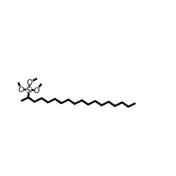 CCCCCCCCCCCCCCCCC(C)[Si](OC)(OC)OC